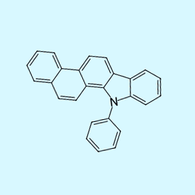 c1ccc(-n2c3ccccc3c3ccc4c5ccccc5ccc4c32)cc1